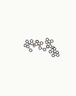 c1ccc(-c2cccc(N(c3ccccc3-c3ccccc3)c3cc4oc5cc(N(c6cccc(-c7cccc(-c8ccc9c(N(c%10ccccc%10-c%10ccccc%10)c%10ccccc%10-c%10ccccc%10)cc%10oc%11cc(N(c%12ccccc%12-c%12ccccc%12)c%12ccccc%12-c%12ccccc%12)c%12ccccc%12c%11c%10c9c8)c7)c6)c6ccccc6-c6ccccc6)c6ccccc6c5c4c4ccccc34)c2)cc1